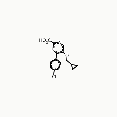 O=C(O)c1ncc(OCC2CC2)c(-c2ccc(Cl)cc2)n1